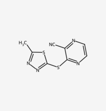 Cc1nnc(Sc2nccnc2C#N)s1